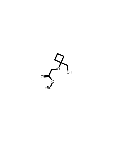 CC(C)(C)OC(=O)COC1(CO)CCC1